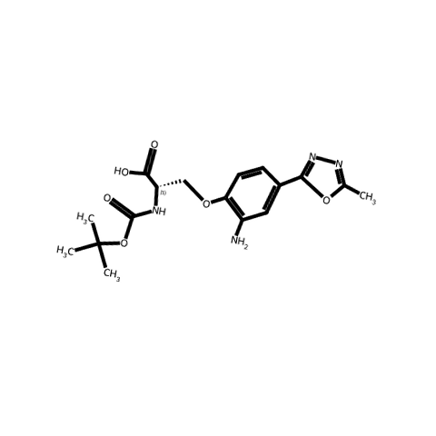 Cc1nnc(-c2ccc(OC[C@H](NC(=O)OC(C)(C)C)C(=O)O)c(N)c2)o1